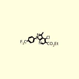 CCOC(=O)c1cnc2c(c(C)nn2-c2ccc(C(F)(F)F)cc2)c1Cl